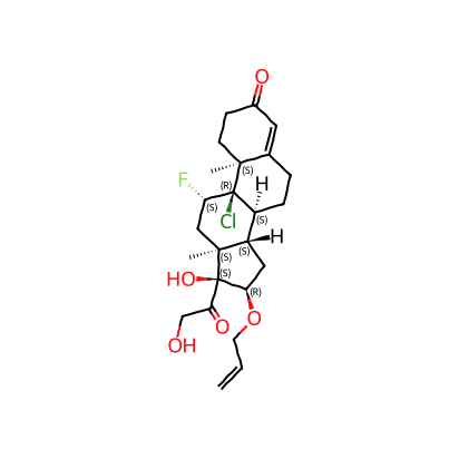 C=CCO[C@@H]1C[C@H]2[C@@H]3CCC4=CC(=O)CC[C@]4(C)[C@@]3(Cl)[C@@H](F)C[C@]2(C)[C@@]1(O)C(=O)CO